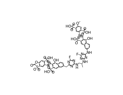 COc1cc(S(=O)(=O)O)c(/N=N/c2c(S(=O)(=O)O)cc3cc(Nc4nc(F)nc(NC(C)CNc5nc(F)nc(Cc6ccc7c(O)c(/N=N/c8cc9c(cc8S(=O)(=O)O)OC(=O)S9(=O)=O)c(S(=O)(=O)O)cc7c6)n5)n4)ccc3c2O)cc1S(=O)(=O)O